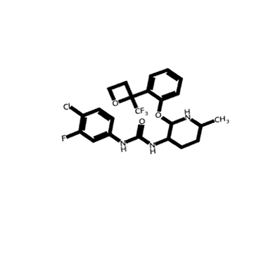 CC1CCC(NC(=O)Nc2ccc(Cl)c(F)c2)C(Oc2ccccc2C2(C(F)(F)F)CCO2)N1